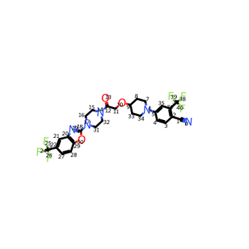 N#Cc1ccc(N2CCC(OCC(=O)N3CCN(c4nc5cc(C(F)(F)F)ccc5o4)CC3)CC2)cc1C(F)(F)F